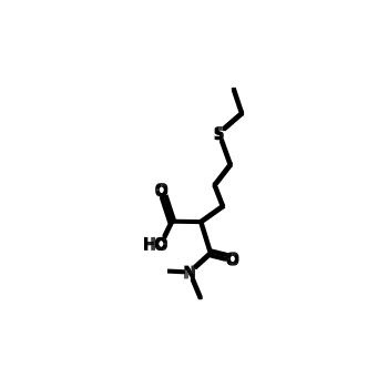 CCSCCCC(C(=O)O)C(=O)N(C)C